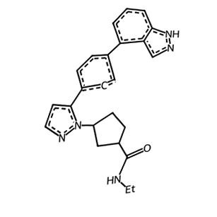 CCNC(=O)C1CCC(n2nccc2-c2ccc(-c3cccc4[nH]ncc34)cc2)C1